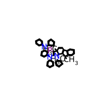 CC1(C)C2=C(C=CC3(C)C4=C(N(c5ccccc5)c5cccc6c5P4c4ccccc4N6c4ccccc4)N(c4ccccc4)C23)c2ccccc21